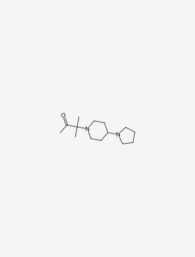 CC(=O)C(C)(C)N1CCC(N2CCCC2)CC1